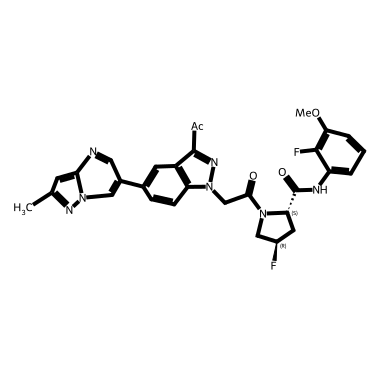 COc1cccc(NC(=O)[C@@H]2C[C@@H](F)CN2C(=O)Cn2nc(C(C)=O)c3cc(-c4cnc5cc(C)nn5c4)ccc32)c1F